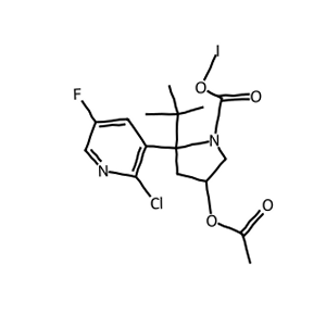 CC(=O)OC1CN(C(=O)OI)C(c2cc(F)cnc2Cl)(C(C)(C)C)C1